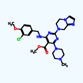 COC(=O)c1c(NCc2ccc(OC)c(Cl)c2)nc(N2CCn3ccnc3C2)nc1N1CCN(C)CC1